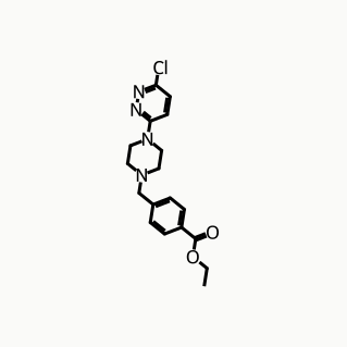 CCOC(=O)c1ccc(CN2CCN(c3ccc(Cl)nn3)CC2)cc1